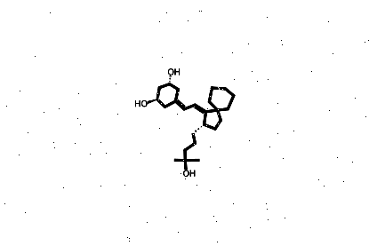 CC(C)(O)CCC[C@H]1CCC2(CCCCC2)/C1=C/C=C1C[C@@H](O)C[C@H](O)C1